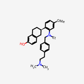 CCN(Cc1ccc(CCN(C)C)cc1)c1cc(OC)ccc1[C@@H]1CCc2cc(O)ccc2C1